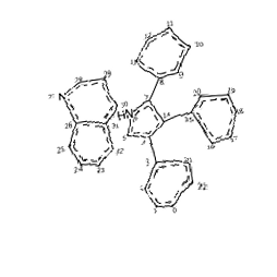 c1ccc(-c2c[nH]c(-c3ccccc3)c2-c2ccccc2)cc1.c1ccc2ncccc2c1